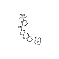 CNS(=O)(=O)c1cccc(Nc2ccc(Nc3ccc(C45CC6CC7CC(C4)C75C6)cc3Cl)cc2)n1